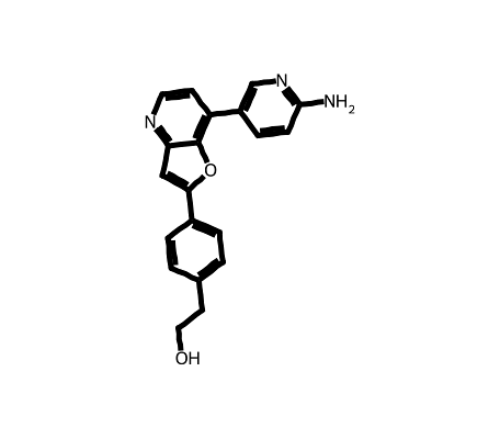 Nc1ccc(-c2ccnc3cc(-c4ccc(CCO)cc4)oc23)cn1